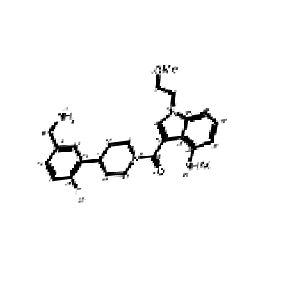 COCCn1cc(C(=O)N2CCC(c3cc(CN)ccc3F)CC2)c2c(NC(C)=O)cccc21